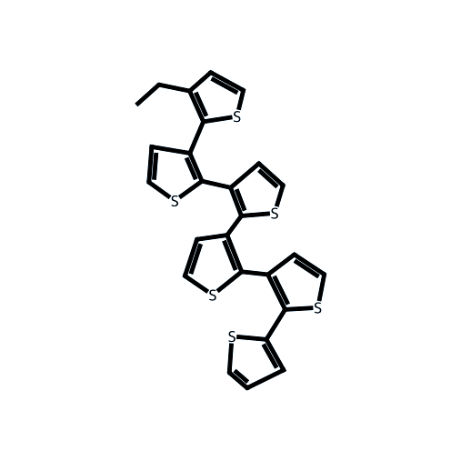 CCc1ccsc1-c1ccsc1-c1ccsc1-c1ccsc1-c1ccsc1-c1cccs1